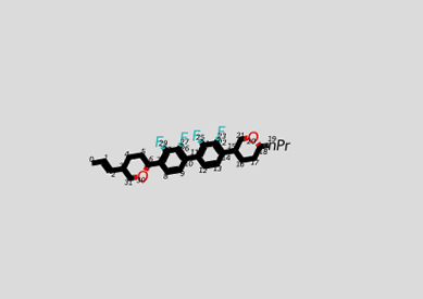 C/C=C/C1CCC(c2ccc(-c3ccc(C4CCC(CCC)OC4)c(F)c3F)c(F)c2F)OC1